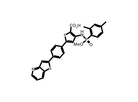 COP(=O)(Nc1cc(-c2ccc(-c3cc4ncccc4s3)cc2)sc1C(=O)O)c1ccc(C)cc1C